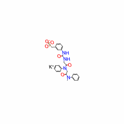 CN(C(=O)CN(C(=O)CNC(=O)Nc1cccc(CS(=O)(=O)[O-])c1)c1ccccc1)c1ccccc1.[K+]